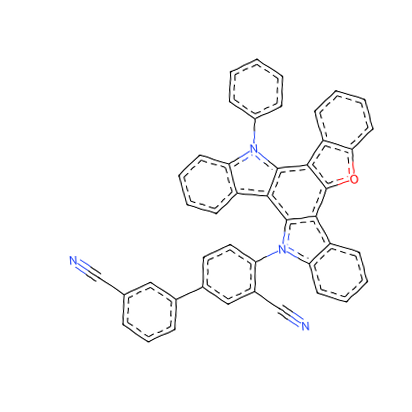 N#Cc1cccc(-c2ccc(-n3c4ccccc4c4c5oc6ccccc6c5c5c(c6ccccc6n5-c5ccccc5)c43)c(C#N)c2)c1